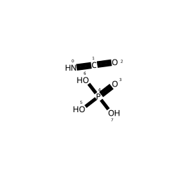 N=C=O.O=P(O)(O)O